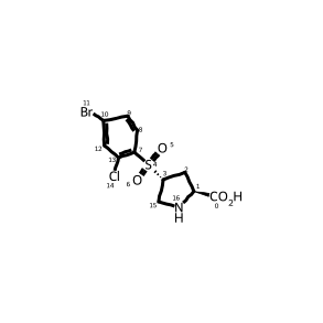 O=C(O)[C@@H]1C[C@@H](S(=O)(=O)c2ccc(Br)cc2Cl)CN1